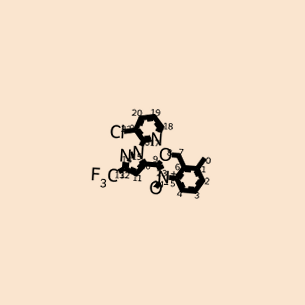 Cc1cccc2c1COC(c1cc(C(F)(F)F)nn1-c1ncccc1Cl)=[N+]2[O-]